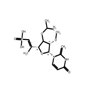 C=C1NC(=O)C=CN1[C@@H]1O[C@H](/C(C)=C/P(=O)(O)O)C(OC(C)C)[C@@H]1OC